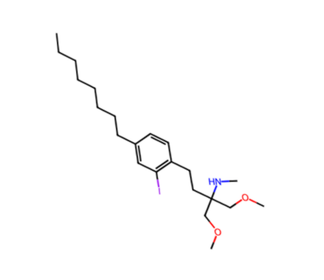 CCCCCCCCc1ccc(CCC(COC)(COC)NC)c(I)c1